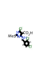 CSc1nc(Cl)c(C(=O)O)c(NCc2ccc(Cl)cc2Cl)n1